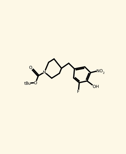 CC(C)(C)OC(=O)N1CCC(Cc2cc(F)c(O)c([N+](=O)[O-])c2)CC1